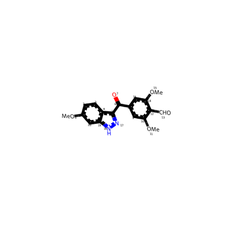 COc1ccc2c(C(=O)c3cc(OC)c(C=O)c(OC)c3)n[nH]c2c1